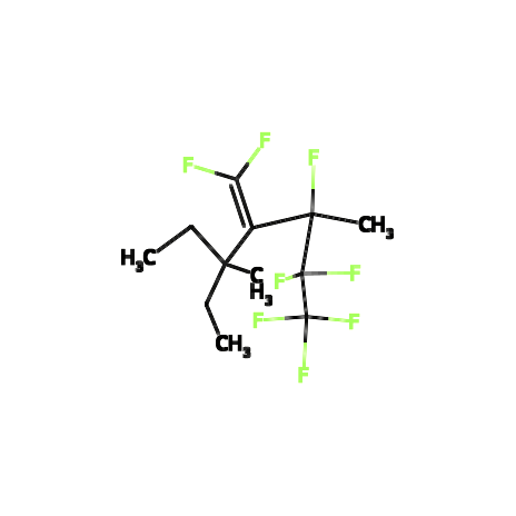 CCC(C)(CC)C(=C(F)F)C(C)(F)C(F)(F)C(F)(F)F